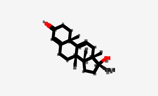 C[C@]12CCC(=O)C=C1CC[C@@H]1C2=CC[C@@]2(C)[C@H]1CC[C@]2(O)C(=O)O